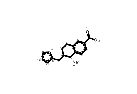 O=C([O-])c1ccc2c(c1)CCC(Cc1cncs1)C2.[Na+]